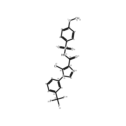 COc1ccc(S(=O)(=O)NC(=O)c2ncn(-c3cccc(C(F)(F)F)c3)c2Cl)cc1